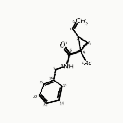 C=CC1CC1(C(C)=O)C(=O)NCc1ccccc1